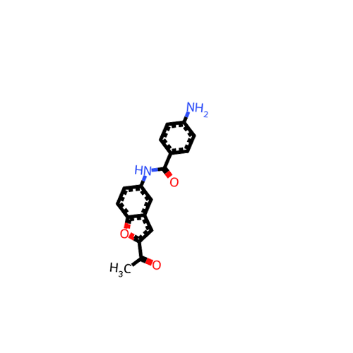 CC(=O)c1cc2cc(NC(=O)c3ccc(N)cc3)ccc2o1